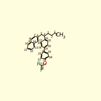 CCCCC(Cc1ccc2ccccc2c1)c1ccc(-c2ccc(OC(F)F)cc2)cc1